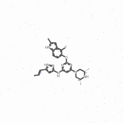 C/C=C/c1cc(Nc2cc(N3C[C@@H](C)N[C@@H](C)C3)nc(Oc3ccc4[nH]c(C)cc4c3F)n2)n[nH]1